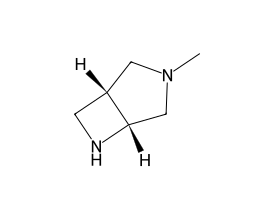 CN1C[C@H]2CN[C@H]2C1